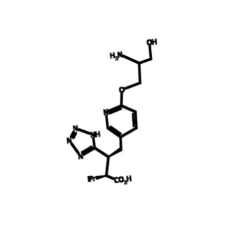 CC(C)[C@H](C(=O)O)[C@H](Cc1ccc(OCC(N)CO)nc1)c1nnn[nH]1